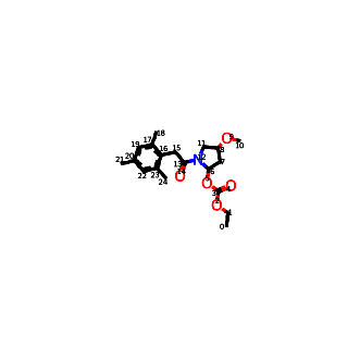 CCOC(=O)OC1CC(OC)CN1C(=O)Cc1c(C)cc(C)cc1C